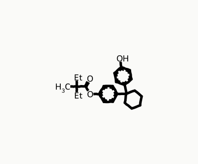 CCC(C)(CC)C(=O)Oc1ccc(C2(c3ccc(O)cc3)CCCCC2)cc1